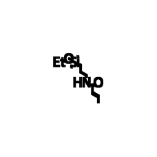 CC=CC(=O)NCCC[Si](C)(C)OCC